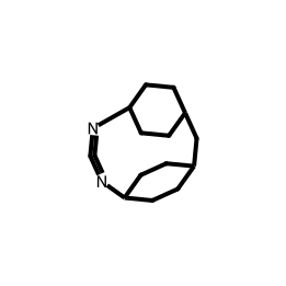 C1=NC2CCC(CC2)CC2CCC(CC2)N=1